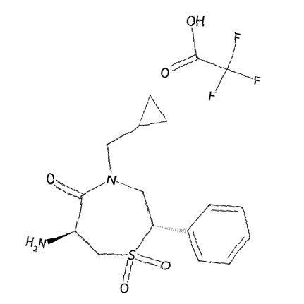 N[C@@H]1CS(=O)(=O)[C@@H](c2ccccc2)CN(CC2CC2)C1=O.O=C(O)C(F)(F)F